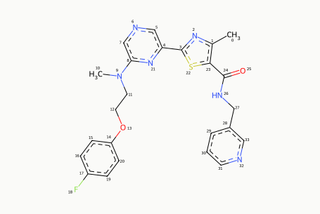 Cc1nc(-c2cncc(N(C)CCOc3ccc(F)cc3)n2)sc1C(=O)NCc1cccnc1